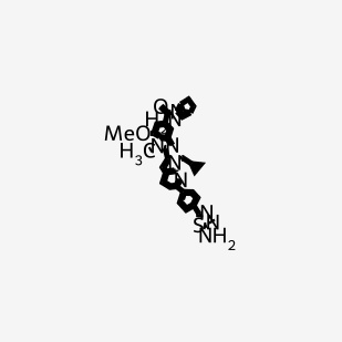 COc1cc(C(=O)N2CC3CCC2C3N)cc2nc(-c3cc4ccc(-c5ccc(-c6nnc(N)s6)cc5)nc4n3CC3CC3)n(C)c12